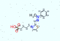 CN(N=Cc1scc[n+]1CCCCS(=O)(=O)O)c1ccccc1